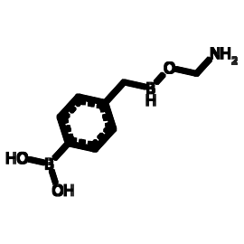 NCOBCc1ccc(B(O)O)cc1